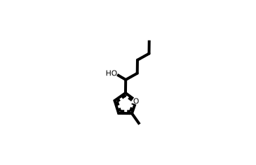 CCCCC(O)c1ccc(C)o1